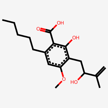 C=C(C)C(O)Cc1c(OC)cc(CCCCC)c(C(=O)O)c1O